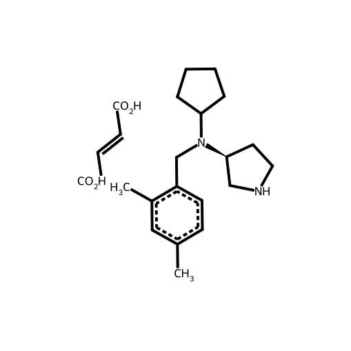 Cc1ccc(CN(C2CCCC2)[C@H]2CCNC2)c(C)c1.O=C(O)/C=C/C(=O)O